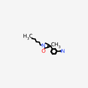 CCCCCCN1CC2C(C1=O)C2(C)c1cccc(C#N)c1